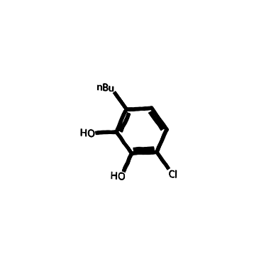 CCCCc1ccc(Cl)c(O)c1O